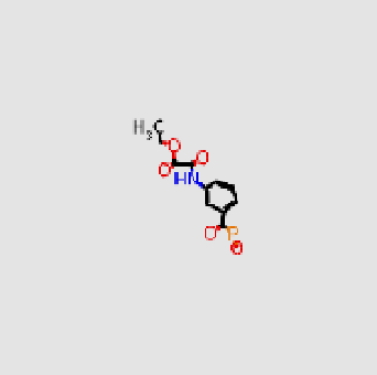 CCOC(=O)C(=O)Nc1cccc(C(=O)P=O)c1